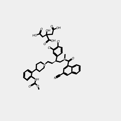 COC(=O)Nc1ccccc1C1CCN(CC[C@H](CN(C)C(=O)c2cc(C#N)cc3ccccc23)c2ccc(Cl)c(Cl)c2)CC1.O=C(O)CC(O)(CC(=O)O)C(=O)O